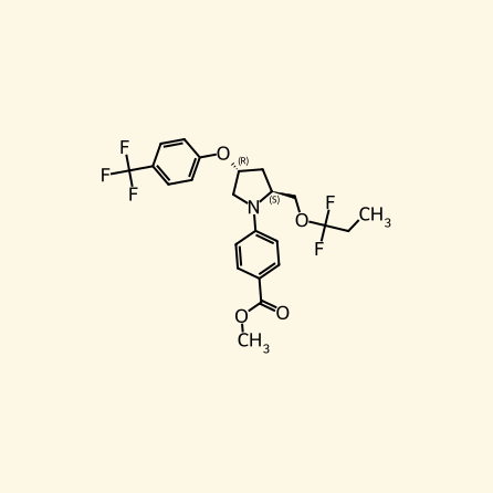 CCC(F)(F)OC[C@@H]1C[C@@H](Oc2ccc(C(F)(F)F)cc2)CN1c1ccc(C(=O)OC)cc1